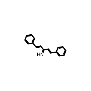 N=C(/C=C/c1ccccc1)/C=C/c1ccccc1